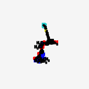 CC(C)N[C@H](C(=O)N[C@@H](CCCNC(N)=O)C(=O)Nc1ccc(COC(=O)N(C)CCN(C)C(=O)Oc2ccc3c(c2)C[C@@H](CCCCCCCCCSCCCC(F)(F)C(F)(F)F)[C@@H]2C3CC[C@]3(C)[C@@H](O)CC[C@@H]23)cc1)C(C)C